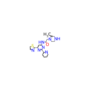 C[C@@H]1CNCCN1CC(=O)Nc1cc(-c2nccs2)nc(-c2ccccn2)n1